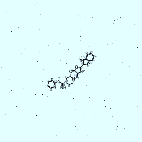 Cn1c(C2=N/C(=C/N3CCN(C(=N)Nc4ccccn4)CC3)C(=O)O2)cc2ccccc21